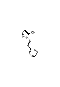 Oc1ccnn1/N=N/c1ccccc1